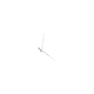 CCCCCCCCCCCCCCCCCCc1cccc(OP(O)O)c1CCCCCCCCCCCCCCCCCC